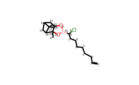 C=CCCCCCCC(Cl)B1OC2CC3CC(C3(C)C)C2(C)O1